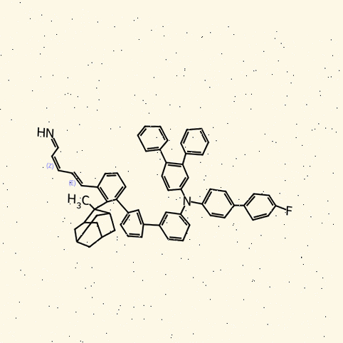 CC1(c2c(/C=C/C=C\C=N)cccc2-c2cccc(-c3cccc(N(c4ccc(-c5ccc(F)cc5)cc4)c4ccc(-c5ccccc5)c(-c5ccccc5)c4)c3)c2)C2CC3CC(C2)CC1C3